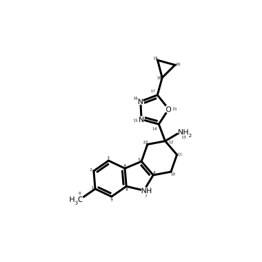 Cc1ccc2c3c([nH]c2c1)CCC(N)(c1nnc(C2CC2)o1)C3